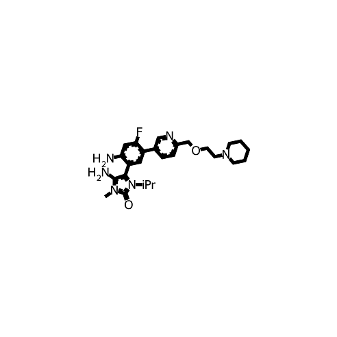 CC(C)n1c(-c2cc(-c3ccc(COCCN4CCCCC4)nc3)c(F)cc2N)c(N)n(C)c1=O